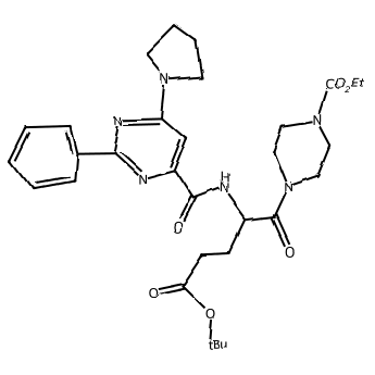 CCOC(=O)N1CCN(C(=O)C(CCC(=O)OC(C)(C)C)NC(=O)c2cc(N3CCCC3)nc(-c3ccccc3)n2)CC1